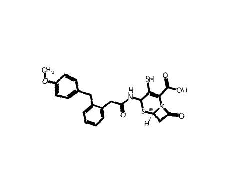 COc1ccc(Cc2ccccc2CC(=O)NC2S[C@@H]3CC(=O)N3C(C(=O)O)=C2S)cc1